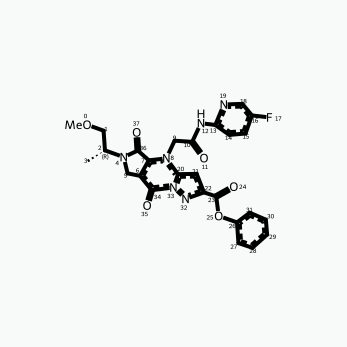 COC[C@@H](C)N1Cc2c(n(CC(=O)Nc3ccc(F)cn3)c3cc(C(=O)Oc4ccccc4)nn3c2=O)C1=O